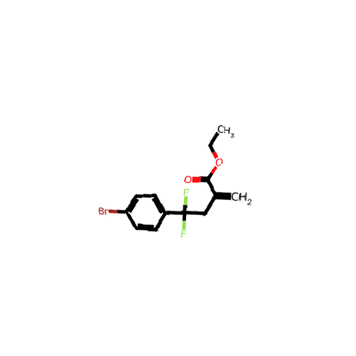 C=C(CC(F)(F)c1ccc(Br)cc1)C(=O)OCC